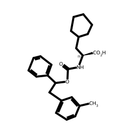 Cc1cccc(CC(OC(=O)N[C@@H](CC2CCCCC2)C(=O)O)c2ccccc2)c1